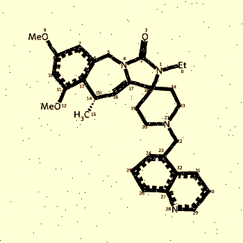 CCN1C(=O)N2Cc3cc(OC)cc(OC)c3[C@@H](C)C=C2C12CCN(Cc1cccc3ncccc13)CC2